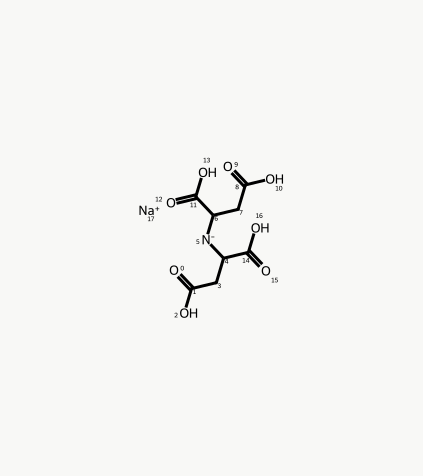 O=C(O)CC([N-]C(CC(=O)O)C(=O)O)C(=O)O.[Na+]